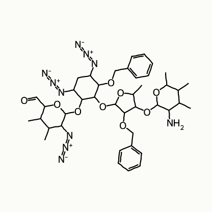 CC1OC(OC2C(C)OC(OC3C(OCc4ccccc4)C(N=[N+]=[N-])CC(N=[N+]=[N-])C3OC3OC(C=O)C(C)C(C)C3N=[N+]=[N-])C2OCc2ccccc2)C(N)C(C)C1C